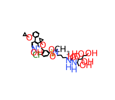 CN(CCCCNC(=O)NC(CO)[C@@H](O)[C@H](O)[C@H](O)CO)S(=O)(=O)c1ccc(Cl)c(COC2(c3c[n+](O)ccc3-c3ccccc3OC3CC3)CC2)c1